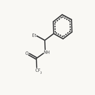 CCC(NC(=O)C(F)(F)F)c1ccccc1